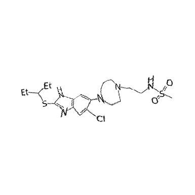 CCC(CC)Sc1nc2cc(Cl)c(N3CCN(CCNS(C)(=O)=O)CC3)cc2[nH]1